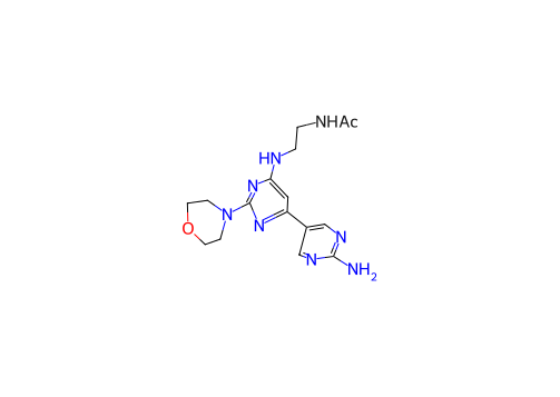 CC(=O)NCCNc1cc(-c2cnc(N)nc2)nc(N2CCOCC2)n1